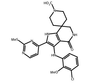 COc1c(Cl)cccc1Nc1c(-c2ccnc(SC)n2)[nH]c2c1C(=O)NCC21CCN(C(=O)O)CC1